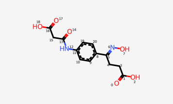 O=C(O)CCC(=NO)c1ccc(NC(=O)CC(=O)O)cc1